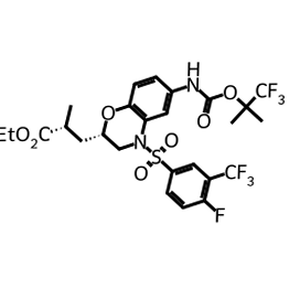 CCOC(=O)[C@H](C)C[C@H]1CN(S(=O)(=O)c2ccc(F)c(C(F)(F)F)c2)c2cc(NC(=O)OC(C)(C)C(F)(F)F)ccc2O1